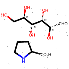 O=C(O)C1CCCN1.O=C[C@H](O)[C@@H](O)[C@H](O)[C@H](O)CO